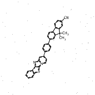 CC1(C)c2cc(C#N)ccc2-c2ccc(-c3ccc(-c4ccn5c(c4)nc4c6ccccc6sc45)cc3)cc21